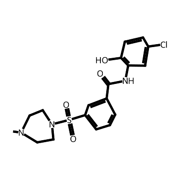 CN1CCN(S(=O)(=O)c2cccc(C(=O)Nc3cc(Cl)ccc3O)c2)CC1